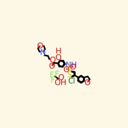 O=C(O)C(F)(F)F.O=C(OCCCN1CCOCC1)c1ccc(NS(=O)(=O)c2cc(-c3ccc4c(c3)CCO4)c(Cl)s2)cc1O